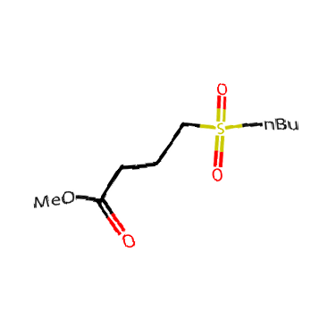 CCCCS(=O)(=O)CCCC(=O)OC